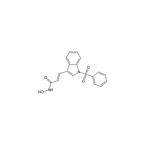 O=C(C=Cc1cn(S(=O)(=O)c2ccccc2)c2ccccc12)NO